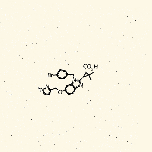 Cn1ccc(COc2ccc3nc([C@H]4[C@H](C(=O)O)C4(C)C)n(Cc4ccc(Br)cc4)c3c2)n1